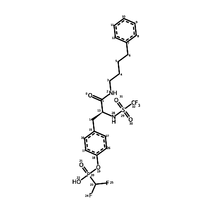 O=C(NCCCCc1ccccc1)[C@H](Cc1ccc(OP(=O)(O)C(F)F)cc1)NS(=O)(=O)C(F)(F)F